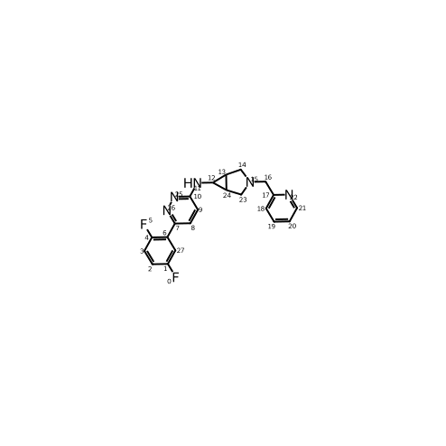 Fc1ccc(F)c(-c2ccc(NC3C4CN(Cc5ccccn5)CC43)nn2)c1